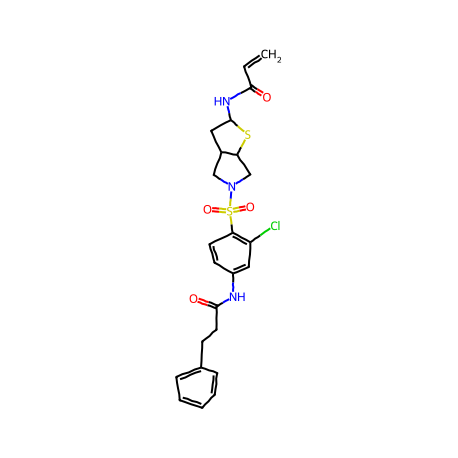 C=CC(=O)NC1CC2CN(S(=O)(=O)c3ccc(NC(=O)CCc4ccccc4)cc3Cl)CC2S1